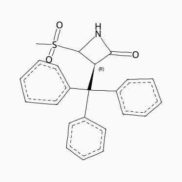 CS(=O)(=O)C1NC(=O)[C@H]1C(c1ccccc1)(c1ccccc1)c1ccccc1